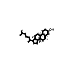 CC(C)CCCC(C)C1CCC2[C@@H]3CC=C4C[C@@H](O)CC[C@]4(C)C3CC[C@]12C